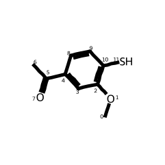 COc1cc(C(C)=O)ccc1S